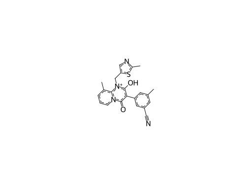 Cc1cc(C#N)cc(-c2c(O)[n+](Cc3cnc(C)s3)c3c(C)cccn3c2=O)c1